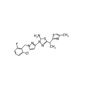 Cc1csc(C(C)C2=NN(c3ccn(Cc4c(F)cccc4Cl)n3)C(N)S2)n1